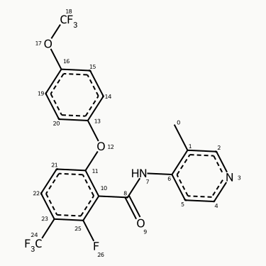 Cc1cnccc1NC(=O)c1c(Oc2ccc(OC(F)(F)F)cc2)ccc(C(F)(F)F)c1F